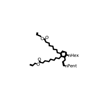 C=CCOC(=O)CCCCCCCc1ccc(CCCCCC)c(C/C=C\CCCCC)c1CCCCCCCC(=O)OCC=C